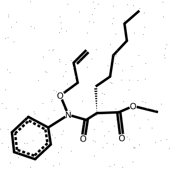 C=CCON(C(=O)[C@H](CCCCCC)C(=O)OC)c1ccccc1